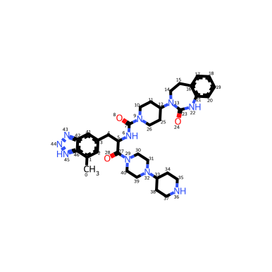 Cc1cc(CC(NC(=O)N2CCC(N3CCc4ccccc4NC3=O)CC2)C(=O)N2CCN(C3CCNCC3)CC2)cc2nn[nH]c12